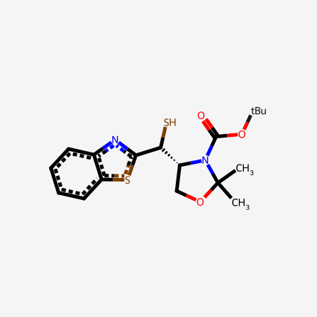 CC(C)(C)OC(=O)N1[C@@H](C(S)c2nc3ccccc3s2)COC1(C)C